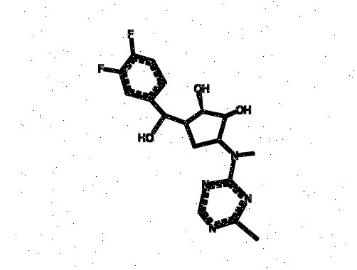 Cc1ncnc(N(C)C2CC(C(O)c3ccc(F)c(F)c3)[C@@H](O)C2O)n1